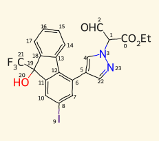 CCOC(=O)C(C=O)n1cc(-c2cc(I)cc3c2-c2ccccc2C3(O)C(F)(F)F)cn1